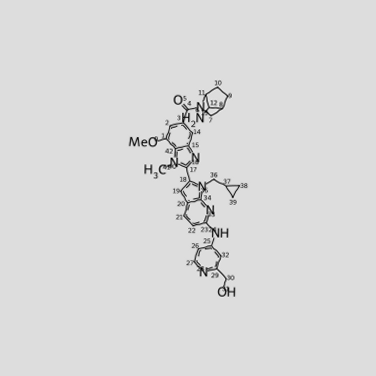 COc1cc(C(=O)N2CC3CCC2C3N)cc2nc(-c3cc4ccc(Nc5ccnc(CO)c5)nc4n3CC3CC3)n(C)c12